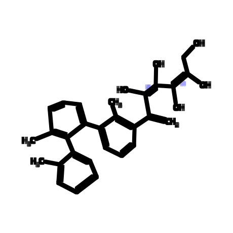 C=C(/C(O)=C(O)\C(O)=C(\O)CO)c1cccc(-c2cccc(C)c2-c2ccccc2C)c1C